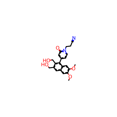 COc1cc2cc(CO)c(CO)c(-c3ccn(CCC#N)c(=O)c3)c2cc1OC